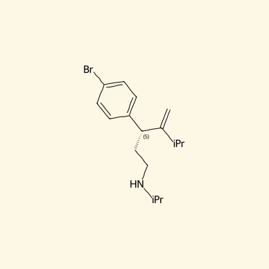 C=C(C(C)C)[C@H](CCNC(C)C)c1ccc(Br)cc1